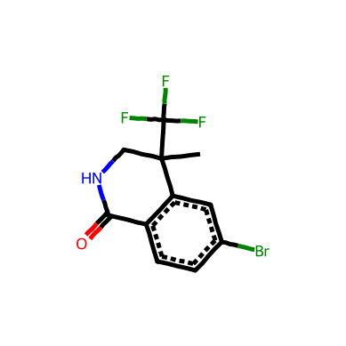 CC1(C(F)(F)F)CNC(=O)c2ccc(Br)cc21